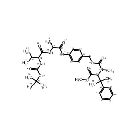 COC(=O)[C@@H](N(C)C(=O)OCc1ccc(NC(=O)[C@H](C)NC(=O)[C@@H](NC(=O)OC(C)(C)C)C(C)C)cc1)C(C)(C)c1ccccc1